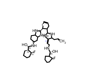 C=CCC1NC(C2CC=CCC2[C@@H]2NC3CC[C@H](N[C@@H](O)[C@@H]4CCCC[C@@H]4F)CC3N2)N/C1=C/CN[C@H](O)C1CCCC[C@H]1F